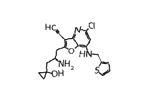 C#Cc1c(CC(N)CC2(O)CC2)oc2c(NCc3cccs3)cc(Cl)nc12